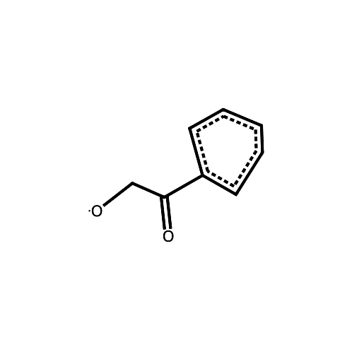 [O]CC(=O)c1ccccc1